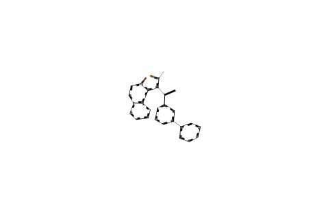 C=C(c1cccc(-c2ccccc2)c1)c1c(I)sc2ccc3ccccc3c12